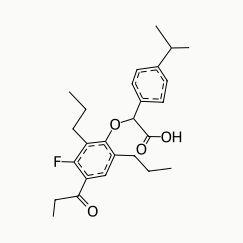 CCCc1cc(C(=O)CC)c(F)c(CCC)c1OC(C(=O)O)c1ccc(C(C)C)cc1